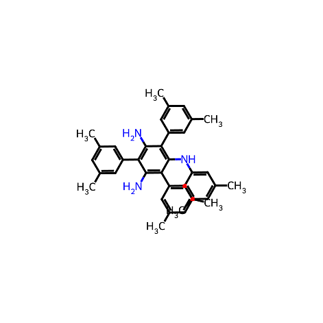 Cc1cc(C)cc(Nc2c(-c3cc(C)cc(C)c3)c(N)c(-c3cc(C)cc(C)c3)c(N)c2-c2cc(C)cc(C)c2)c1